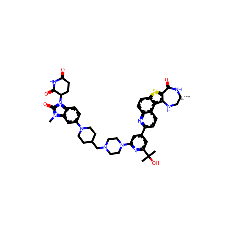 C[C@@H]1CNc2c(sc3ccc4nc(-c5cc(N6CCN(CC7CCN(c8ccc9c(c8)n(C)c(=O)n9C8CCC(=O)NC8=O)CC7)CC6)nc(C(C)(C)O)c5)ccc4c23)C(=O)N1